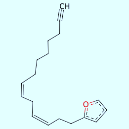 C#CCCCCC/C=C\C/C=C\CCc1ccco1